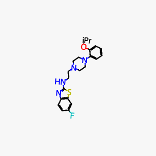 CC(C)Oc1ccccc1N1CCN(CCNc2nc3ccc(F)cc3s2)CC1